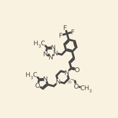 COC[C@@H]1CN(Cc2coc(C)n2)CCN1C(=O)C=Cc1ccc(C(F)(F)F)cc1Cn1nnc(C)n1